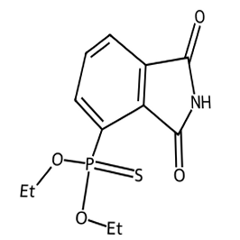 CCOP(=S)(OCC)c1cccc2c1C(=O)NC2=O